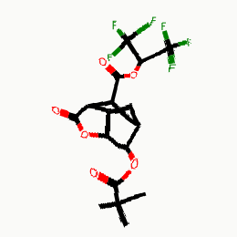 CC(C)(C)C(=O)OC1C2CC3C1OC(=O)C3C2C(=O)OC(C(F)(F)F)C(F)(F)F